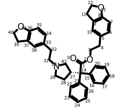 O=C(OCCc1ccc2c(c1)CCO2)C(c1ccccc1)(c1ccccc1)[C@@H]1CCN(CCc2ccc3c(c2)CCO3)C1